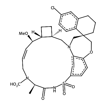 CO[C@@H]1C=CCN(C(=O)O)[C@H](C)C(=O)NS(=O)(=O)c2ccc3c(c2)N(C[C@@H]2CC[C@H]21)C[C@@]1(CCCc2cc(Cl)ccc21)CO3